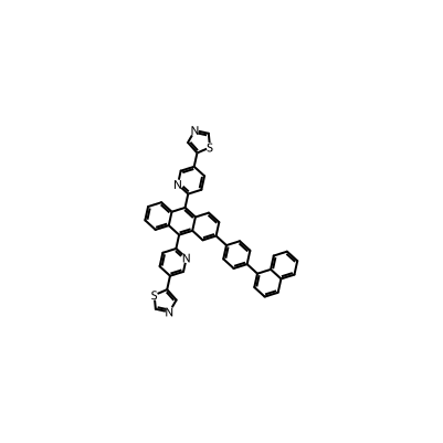 c1ccc2c(-c3ccc(-c4ccc5c(-c6ccc(-c7cncs7)cn6)c6ccccc6c(-c6ccc(-c7cncs7)cn6)c5c4)cc3)cccc2c1